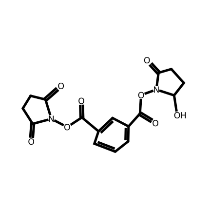 O=C(ON1C(=O)CCC1=O)c1cccc(C(=O)ON2C(=O)CCC2O)c1